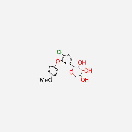 COc1ccc(Oc2cc([C@@H]3OC[C@@H](O)[C@H](O)[C@H]3O)ccc2Cl)cc1